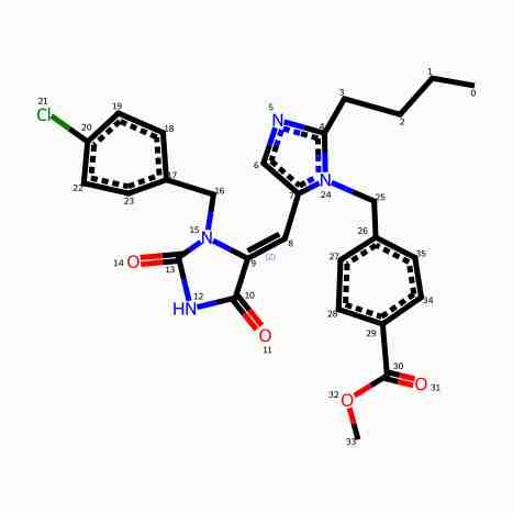 CCCCc1ncc(/C=C2/C(=O)NC(=O)N2Cc2ccc(Cl)cc2)n1Cc1ccc(C(=O)OC)cc1